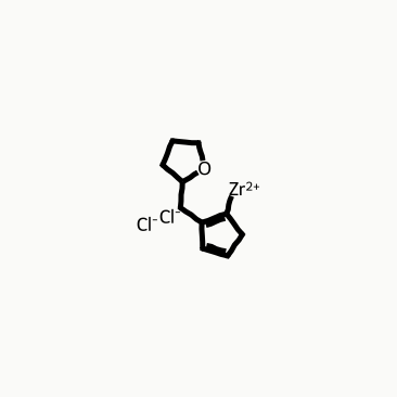 [Cl-].[Cl-].[Zr+2][C]1=C(CC2CCCO2)C=CC1